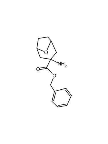 NC1(C(=O)OCc2ccccc2)CC2CCC(C1)O2